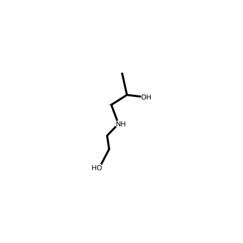 CC(O)[CH]NCCO